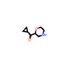 O=C([C]1CNCCO1)C1CC1